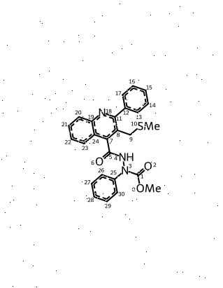 COC(=O)N(NC(=O)c1c(CSC)c(-c2ccccc2)nc2ccccc12)c1ccccc1